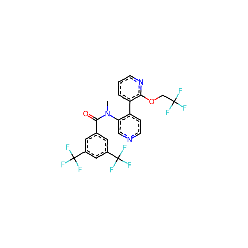 CN(C(=O)c1cc(C(F)(F)F)cc(C(F)(F)F)c1)c1cnccc1-c1cccnc1OCC(F)(F)F